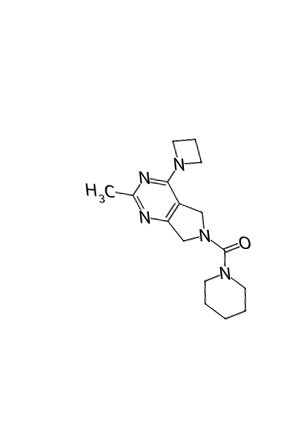 Cc1nc2c(c(N3CCC3)n1)CN(C(=O)N1CCCCC1)C2